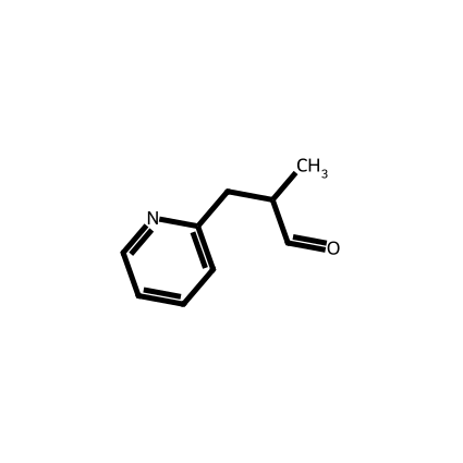 CC(C=O)Cc1ccccn1